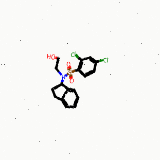 O=S(=O)(c1ccc(Cl)cc1Cl)N(CCO)C1CCc2ccccc21